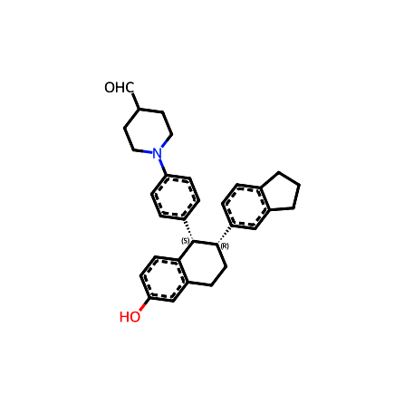 O=CC1CCN(c2ccc([C@H]3c4ccc(O)cc4CC[C@H]3c3ccc4c(c3)CCC4)cc2)CC1